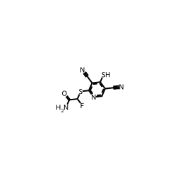 N#Cc1cnc(SC(F)C(N)=O)c(C#N)c1S